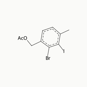 CC(=O)OCc1ccc(C)c(I)c1Br